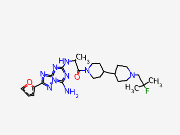 C[C@H](Nc1nc(N)n2nc(-c3ccco3)nc2n1)C(=O)N1CCC(C2CCN(CC(C)(C)F)CC2)CC1